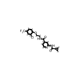 O=C(NCCOc1ccc(C(F)(F)F)cc1Cl)c1ccnc(NC(=O)C2CC2)c1